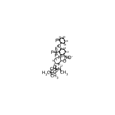 CN(C[C@@H]1CCCN(c2c([N+](=O)[O-])ccc(Oc3ccccc3F)c2C(F)(F)F)C1)C(=O)OC(C)(C)C